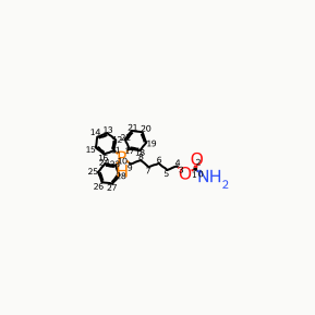 NC(=O)OCCCCCC[PH](c1ccccc1)(c1ccccc1)c1ccccc1